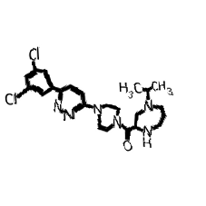 CC(C)N1CCNC(C(=O)N2CCN(c3ccc(-c4cc(Cl)cc(Cl)c4)nn3)CC2)C1